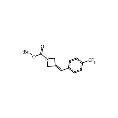 CC(C)(C)OC(=O)N1CC(=Cc2ccc(C(F)(F)F)cc2)C1